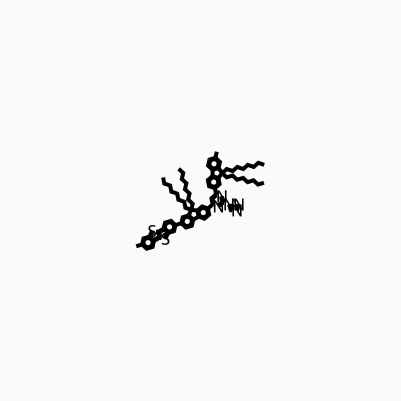 CCCCCCCCC1(CCCCCCCC)c2cc(C)ccc2-c2ccc(-c3cc(-c4ccc5c(c4)C(CCCCCCCC)(CCCCCCCC)c4cc(-c6ccc7c(c6)sc6c8ccc(C)cc8sc76)ccc4-5)nc(-n4cnnc4)n3)cc21